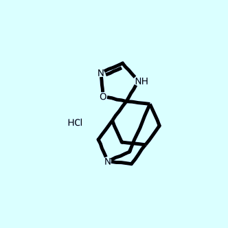 C1=NOC2(N1)C1CC3CC2CN(C3)C1.Cl